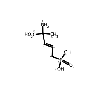 CC(N)(C=CCP(=O)(O)O)C(=O)O